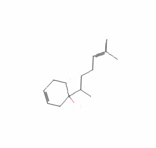 CC(C)=CCCC(C)C1(O)CC=CCC1